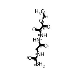 BC(=O)NCC(=O)NNC(=O)C(=O)OCC